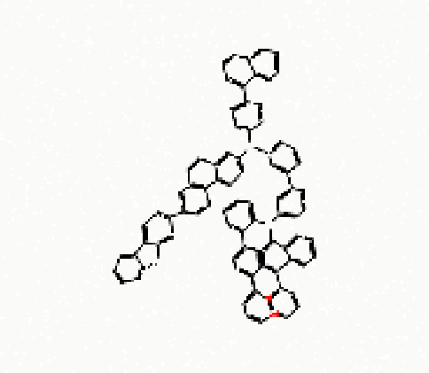 c1ccc(-c2ccc(-c3ccccc3N(c3cccc(-c4cccc(N(c5ccc(-c6cccc7ccccc67)cc5)c5ccc6c(ccc7cc(-c8ccc9c(c8)sc8ccccc89)ccc76)c5)c4)c3)c3ccc(-c4ccccc4)c4ccccc34)cc2)cc1